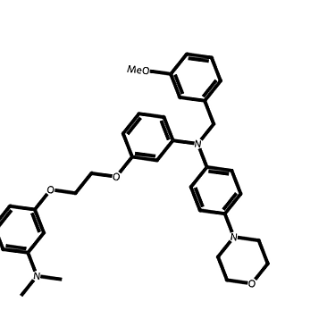 COc1cccc(CN(c2ccc(N3CCOCC3)cc2)c2cccc(OCCOc3cccc(N(C)C)c3)c2)c1